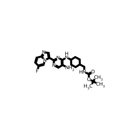 CC(C)(C)OC(=O)NCC1CCC(Nc2nc(-c3cnc4ccc(F)cn34)ncc2N)CC1